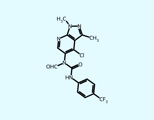 Cc1nn(C)c2ncc(N(C=O)C(=O)Nc3ccc(C(F)(F)F)cc3)c(Cl)c12